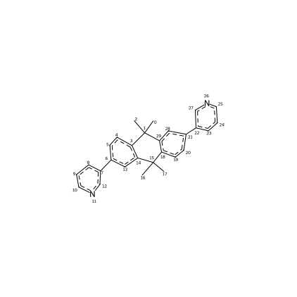 CC1(C)c2ccc(-c3cccnc3)cc2C(C)(C)c2ccc(-c3cccnc3)cc21